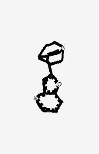 C1=C(c2cc3ncccc3o2)C2CCN1CC2